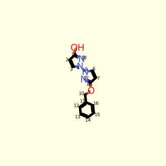 Oc1ccn(-n2ccc(OCc3ccccc3)n2)n1